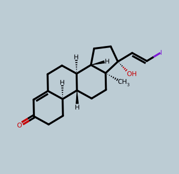 C[C@]12CC[C@H]3[C@@H](CCC4=CC(=O)CC[C@@H]43)[C@@H]1CC[C@@]2(O)C=CI